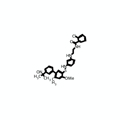 COc1cc(C)c(-c2cccc(C(C)(C)N=O)c2)cc1SNc1cccc(NCCNC(=O)c2ccccc2Cl)c1